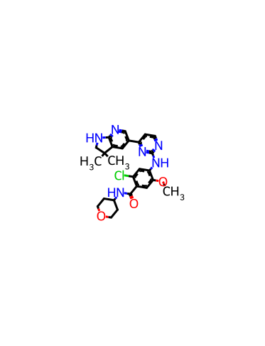 COc1cc(C(=O)NC2CCOCC2)c(Cl)cc1Nc1nccc(-c2cnc3c(c2)C(C)(C)CN3)n1